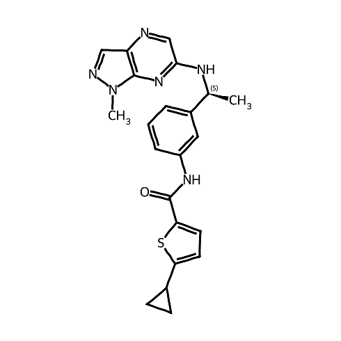 C[C@H](Nc1cnc2cnn(C)c2n1)c1cccc(NC(=O)c2ccc(C3CC3)s2)c1